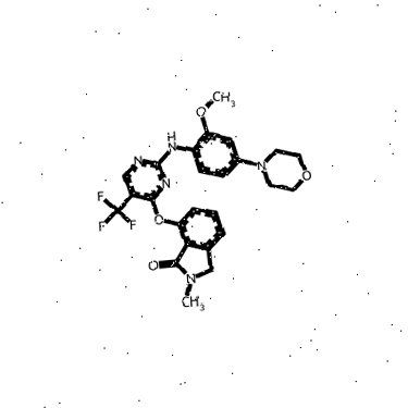 COc1cc(N2CCOCC2)ccc1Nc1ncc(C(F)(F)F)c(Oc2cccc3c2C(=O)N(C)C3)n1